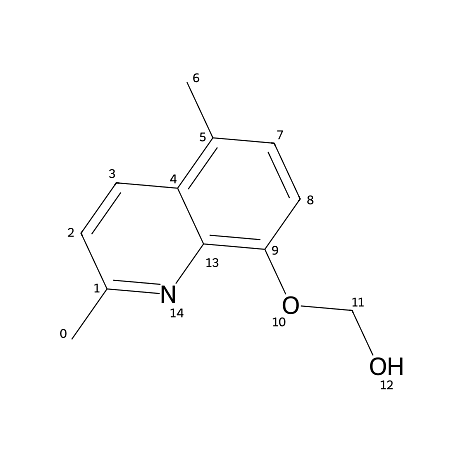 Cc1ccc2c(C)ccc(OCO)c2n1